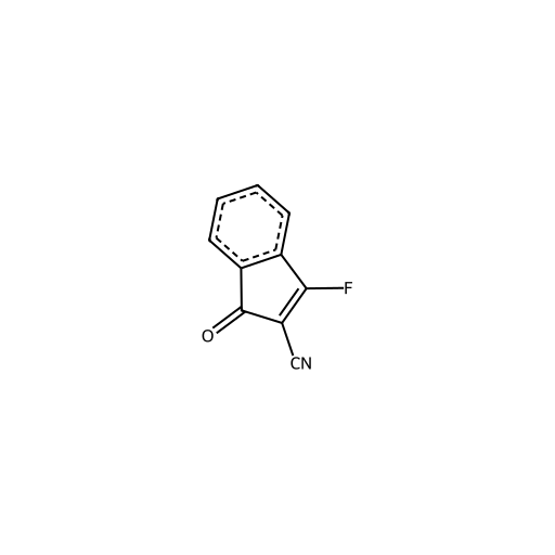 N#CC1=C(F)c2ccccc2C1=O